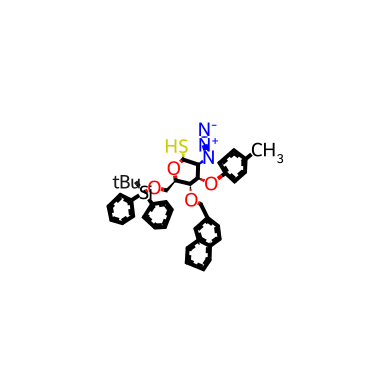 Cc1ccc(O[C@@H]2[C@H](N=[N+]=[N-])[C@H](S)O[C@H](CO[Si](c3ccccc3)(c3ccccc3)C(C)(C)C)[C@H]2OCc2ccc3ccccc3c2)cc1